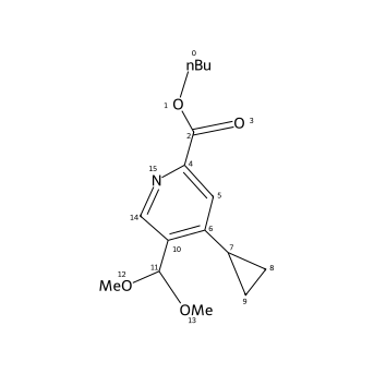 CCCCOC(=O)c1cc(C2CC2)c(C(OC)OC)cn1